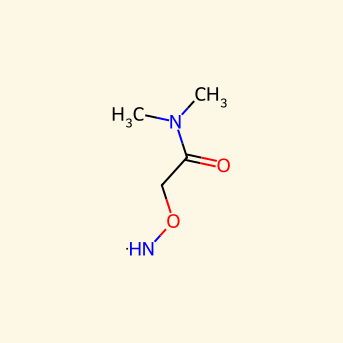 CN(C)C(=O)CO[NH]